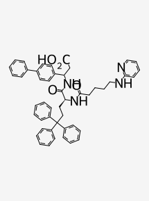 O=C(O)CC(NC(=O)[C@H](CCC(c1ccccc1)(c1ccccc1)c1ccccc1)NC(=O)CCCCNc1ccccn1)c1ccc(-c2ccccc2)cc1